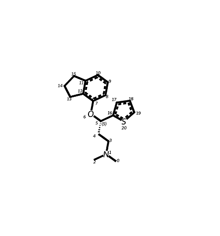 CN(C)CC[C@H](Oc1cccc2c1CCC2)c1cccs1